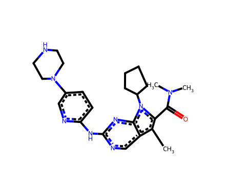 Cc1c(C(=O)N(C)C)n(C2CCCC2)c2nc(Nc3ccc(N4CCNCC4)cn3)ncc12